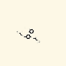 CC(=O)Oc1ccccc1C(=O)O.CC(C)NC[C@H](O)COc1ccc(COCCOC(C)C)cc1